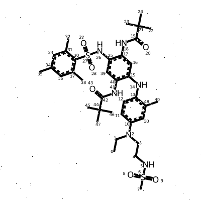 CCN(CCNS(C)(=O)=O)c1ccc(Nc2cc(NC(=O)C(C)(C)C)c(NS(=O)(=O)c3c(C)cc(C)cc3C)cc2NC(=O)C(C)(C)C)c(C)c1